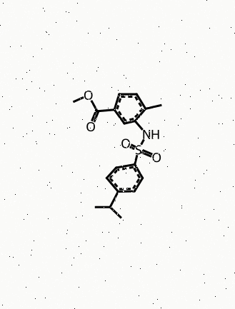 COC(=O)c1ccc(C)c(NS(=O)(=O)c2ccc(C(C)C)cc2)c1